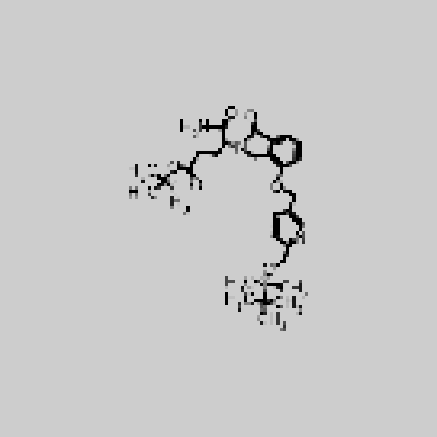 CC(C)(C)OC(=O)CC[C@@H](C(N)=O)N1Cc2c(OCc3ccc(CO[Si](C)(C)C(C)(C)C)nc3)cccc2C1=O